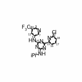 CC(C)Nc1nc(Nc2cncc(C(F)(F)F)c2)nc(-c2cccc(Cl)n2)n1